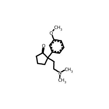 COc1cccc(C2(CCN(C)C)CCCC2=O)c1